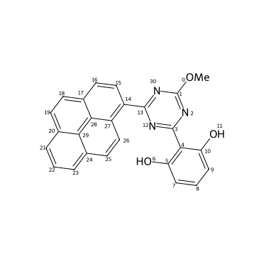 COc1nc(-c2c(O)cccc2O)nc(-c2ccc3ccc4cccc5ccc2c3c45)n1